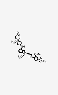 COc1cc(S(C)(=O)=O)ccc1NCC#Cc1cc2c(NC3CCC(C)(N4CC[S+]([O-])CC4)CC3)cccc2n1CC(F)(F)F